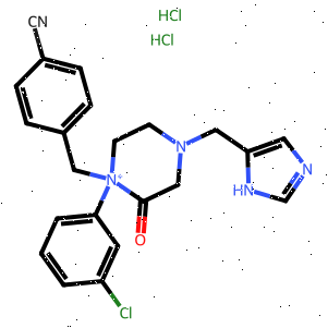 Cl.Cl.N#Cc1ccc(C[N+]2(c3cccc(Cl)c3)CCN(Cc3cnc[nH]3)CC2=O)cc1